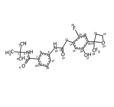 CC(C)(C#N)NC(=O)c1cc(NC(=O)Cc2cc(O)c(C3(C(F)(F)F)CCO3)cc2F)ccn1